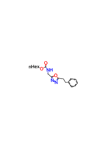 CCCCCCOC(=O)NCc1nnc(CCc2ccccc2)o1